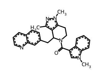 Cc1nn(C)c2c1C(Cc1ccc3cccnc3c1)N(C(=O)c1cn(C)c3ccccc13)CC2